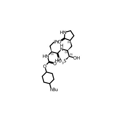 CCCCC1CCC(OC(=O)N[C@@H](CC(C)C)C(=O)N[C@@H](C[C@@H]2CCNC2=O)[C@@H](O)S(=O)(=O)O)CC1